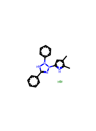 Br.Cc1cc(N2N=C(c3ccccc3)NN2c2ccccc2)[nH]c1C